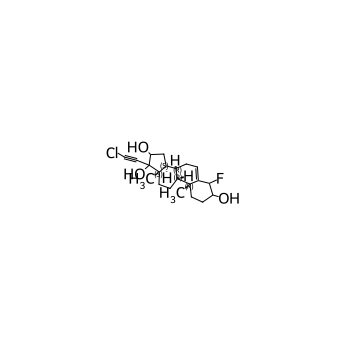 C[C@]12CCC(O)C(F)C1=CC[C@@H]1[C@H]2CC[C@@]2(C)[C@H]1CC(O)C2(O)C#CCl